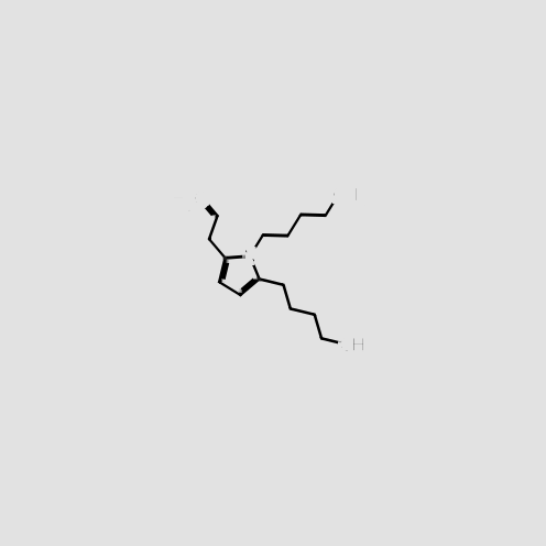 C=CCc1ccc(CCCCC)n1CCCCC